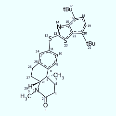 CN1C(=O)CC[C@]2(C)c3ccc(Sc4nc5c(C(C)(C)C)ccc(C(C)(C)C)c5s4)cc3CC[C@@H]12